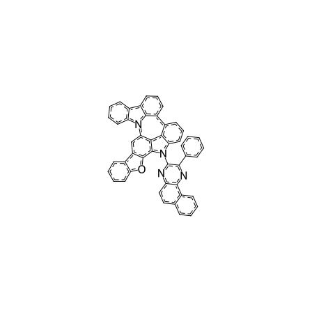 c1ccc(-c2nc3c(ccc4ccccc43)nc2-n2c3cccc4c5cccc6c7ccccc7n(c7cc8c9ccccc9oc8c2c7c43)c56)cc1